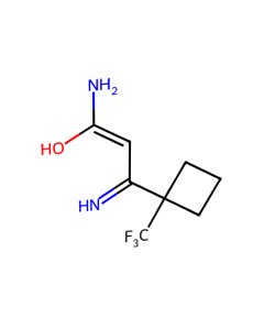 N=C(/C=C(/N)O)C1(C(F)(F)F)CCC1